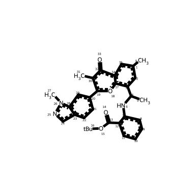 Cc1cc(C(C)Nc2ccccc2C(=O)OC(C)(C)C)c2oc(-c3ccc4cnn(C)c4c3)c(C)c(=O)c2c1